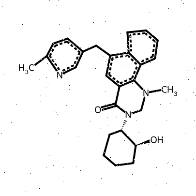 Cc1ccc(Cc2cc3c(c4ccccc24)N(C)CN([C@H]2CCCC[C@@H]2O)C3=O)cn1